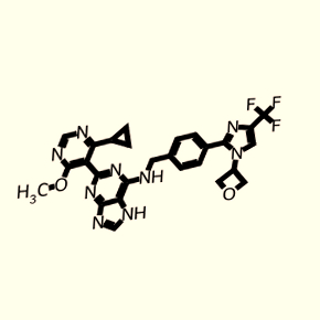 COc1ncnc(C2CC2)c1-c1nc(NCc2ccc(-c3nc(C(F)(F)F)cn3C3COC3)cc2)c2[nH]cnc2n1